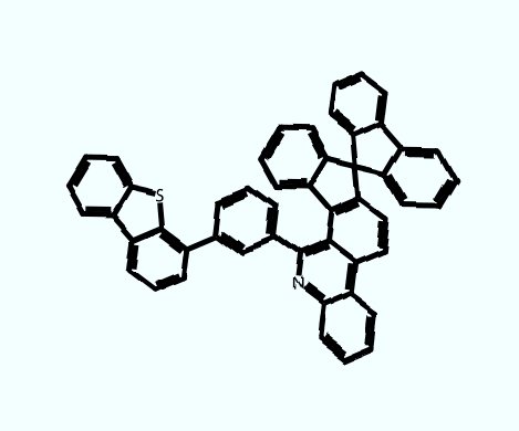 c1cc(-c2cccc3c2sc2ccccc23)cc(-c2nc3ccccc3c3ccc4c(c23)-c2ccccc2C42c3ccccc3-c3ccccc32)c1